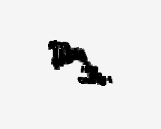 COc1cc2nn(C3CCCN(CCCCCNC(=O)c4ccc(OC)c(N5CCC(=O)NC5=O)c4)CC3)cc2cc1NC(=O)c1cccc(C)n1